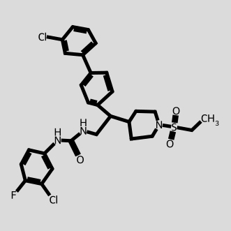 CCS(=O)(=O)N1CCC(C(CNC(=O)Nc2ccc(F)c(Cl)c2)c2ccc(-c3cccc(Cl)c3)cc2)CC1